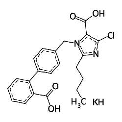 CCCCc1nc(Cl)c(C(=O)O)n1Cc1ccc(-c2ccccc2C(=O)O)cc1.[KH]